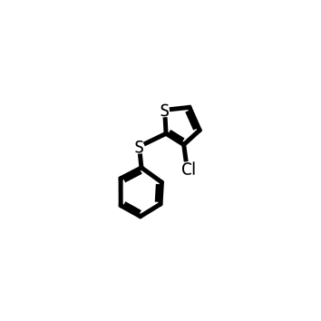 Clc1ccsc1Sc1ccccc1